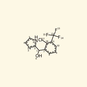 OC(c1ncc[nH]1)c1cccc(C(F)(F)F)c1Cl